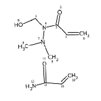 C=CC(=O)N(CO)N(C)C.C=CC(N)=O